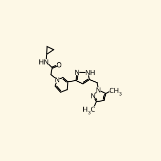 Cc1cc(C)n(Cc2cc(C3=CN(CC(=O)NC4CC4)C=CC3)n[nH]2)n1